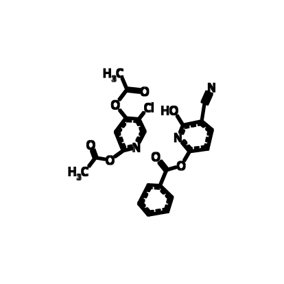 CC(=O)Oc1cc(OC(C)=O)c(Cl)cn1.N#Cc1ccc(OC(=O)c2ccccc2)nc1O